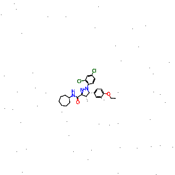 CCOc1ccc([C@@H]2[C@H](C)C(C(=O)NC3CCCCCC3)=NN2c2ccc(Cl)cc2Cl)cc1